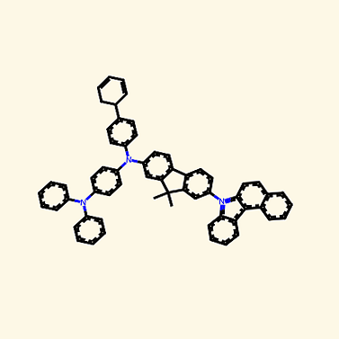 CC1(C)c2cc(N(c3ccc(C4C=CC=CC4)cc3)c3ccc(N(c4ccccc4)c4ccccc4)cc3)ccc2-c2ccc(-n3c4ccccc4c4c5ccccc5ccc43)cc21